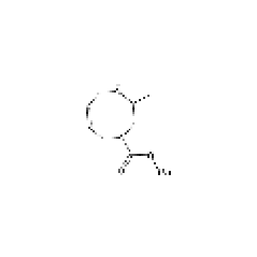 CC1CN(C(=O)OC(C)(C)C)CC=CCN1